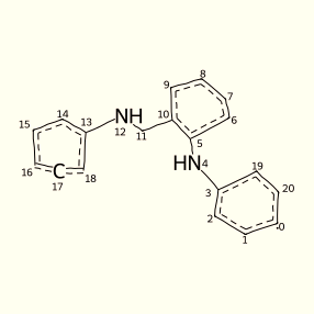 [c]1ccc(Nc2ccccc2CNc2ccccc2)cc1